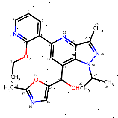 CCOc1ncccc1-c1cc(C(O)c2cnc(C)o2)c2c(n1)c(C)nn2C(C)C